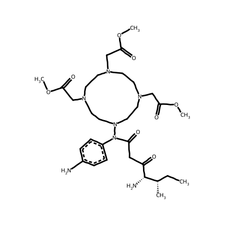 CC[C@H](C)[C@H](N)C(=O)CC(=O)N(c1ccc(N)cc1)N1CCN(CC(=O)OC)CCN(CC(=O)OC)CCN(CC(=O)OC)CC1